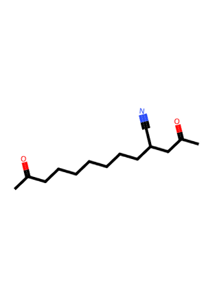 CC(=O)CCCCCCCC(C#N)CC(C)=O